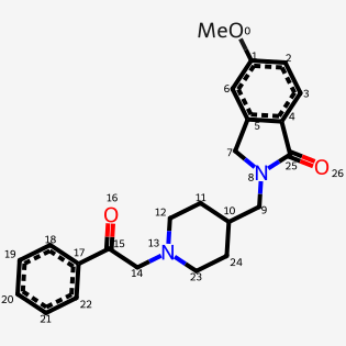 COc1ccc2c(c1)CN(CC1CCN(CC(=O)c3ccccc3)CC1)C2=O